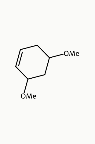 COC1C=CCC(OC)C1